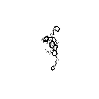 C[C@]12CCC(OCCN3CCCC3)C=C1CC[C@@H]1[C@H]2CC[C@]2(C)C(OCCN3CCCC3)(c3ccsc3)CC[C@@]12O